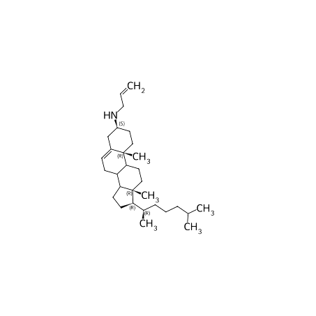 C=CCN[C@H]1CC[C@@]2(C)C(=CCC3C2CC[C@@]2(C)C3CC[C@@H]2[C@H](C)CCCC(C)C)C1